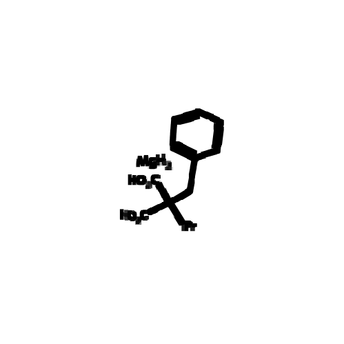 CC(C)C(Cc1ccccc1)(C(=O)O)C(=O)O.[MgH2]